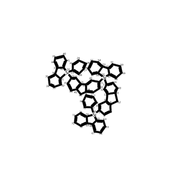 c1ccc([Si]2(c3ccc4c(c3)-c3cc([Si]5(c6ccc7c(c6)-c6cc([Si]8(c9ccccc9)c9ccccc9-c9ccccc98)ccc6C7)c6ccccc6-c6ccccc65)ccc3C4)c3ccccc3-c3ccccc32)cc1